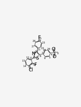 CS(=O)(=O)c1ccc(-c2sc(-c3cccc(Cl)c3F)nc2-c2ccc(F)cc2)cc1